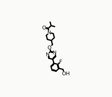 CC(C)C(=O)N1CCC(COc2ncc(-c3cccc(CO)c3F)cn2)CC1